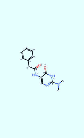 CN(C)c1ncc(NC(=O)Cc2ccccc2)c(=O)[nH]1